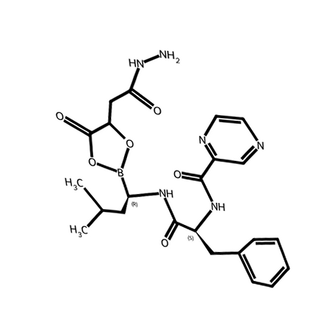 CC(C)C[C@H](NC(=O)[C@H](Cc1ccccc1)NC(=O)c1cnccn1)B1OC(=O)C(CC(=O)NN)O1